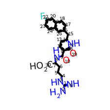 N=C(N)NCCC[C@H](NC(=O)c1ccc(Cc2ccc3cc(F)ccc3c2)[nH]c1=O)C(=O)O